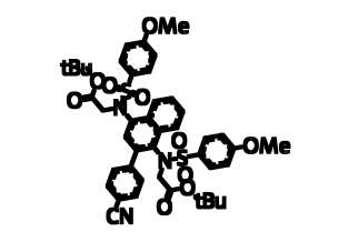 COc1ccc(S(=O)(=O)N(CC(=O)OC(C)(C)C)c2cc(-c3ccc(C#N)cc3)c(N(CC(=O)OC(C)(C)C)S(=O)(=O)c3ccc(OC)cc3)c3ccccc23)cc1